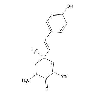 CC1C[C@@](C)(/C=C/c2ccc(O)cc2)C=C(C#N)C1=O